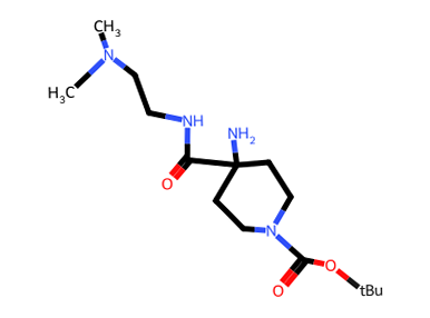 CN(C)CCNC(=O)C1(N)CCN(C(=O)OC(C)(C)C)CC1